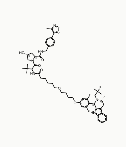 Cc1ncsc1-c1ccc(CNC(=O)[C@@H]2C[C@@H](O)CN2C(=O)C(NC(=O)CCCCCOCCCCOc2cc(F)c([C@@H]3c4[nH]c5ccccc5c4C[C@@H](C)N3CC(C)(C)F)c(F)c2)C(C)(C)C)cc1